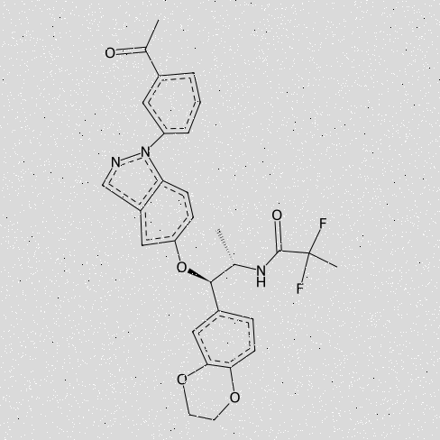 CC(=O)c1cccc(-n2ncc3cc(O[C@H](c4ccc5c(c4)OCCO5)[C@H](C)NC(=O)C(C)(F)F)ccc32)c1